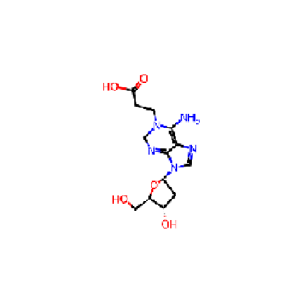 NC1=c2ncn([C@H]3C[C@H](O)[C@@H](CO)O3)c2=NCN1CCC(=O)O